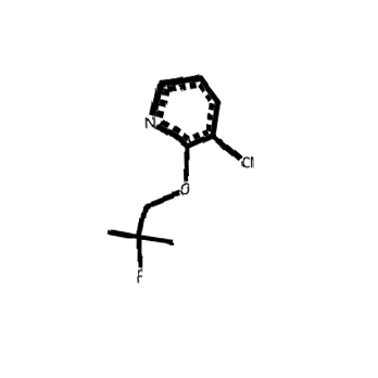 CC(C)(F)COc1ncccc1Cl